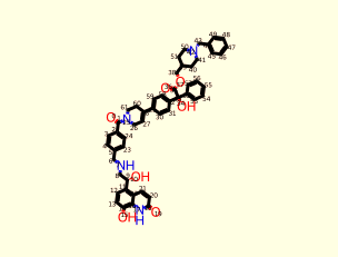 O=C(c1ccc(CNC[C@H](O)c2ccc(O)c3[nH]c(=O)ccc23)cc1)N1CC=C(c2ccc(C(O)(C(=O)OCC3CCN(Cc4ccccc4)CC3)c3ccccc3)cc2)CC1